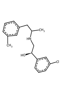 Cc1cccc(CC(C)NC[C@H](O)c2cccc(Cl)c2)c1